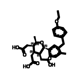 CCOc1ccc(Cc2cc([C@H]3O[C@H](C)[C@H](CC(=O)O)[C@H](CC(=O)O)[C@@H]3CC(=O)O)ccc2C)cc1